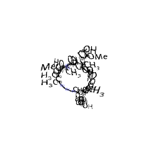 CO[C@@H]1C[C@H](C[C@@H](C)[C@@H]2CC(=O)[C@H](C)/C=C(\C)[C@@H](O)[C@@H](OC)C(=O)[C@H](C)C[C@H](C)/C=C/C=C/C=C(\C)[C@H](O[C@@H]3CO[C@H]4[C@@H]3OC[C@H]4O)C[C@@H]3CC[C@@H](C)[C@@](O)(O3)C(=O)C(=O)N3CCCC[C@H]3C(=O)O2)CC[C@H]1O